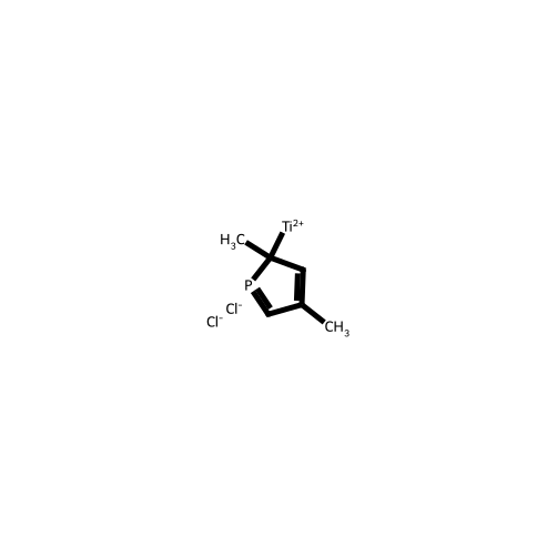 CC1=C[C](C)([Ti+2])P=C1.[Cl-].[Cl-]